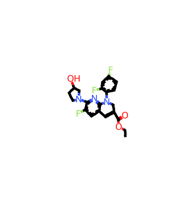 CCOC(=O)C1=Cc2cc(F)c(N3CCC(O)C3)nc2N(c2ccc(F)cc2F)C1